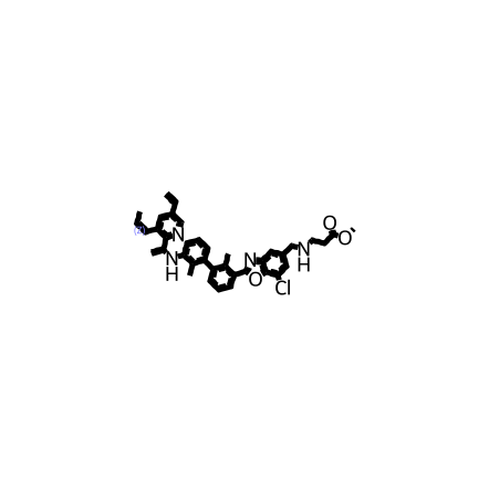 C=Cc1cnc(C(=C)Nc2cccc(-c3cccc(-c4nc5cc(CNCCC(=O)OC)cc(Cl)c5o4)c3C)c2C)c(/C=C\C)c1